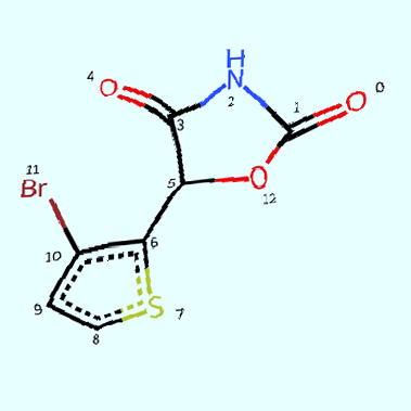 O=C1NC(=O)C(c2sccc2Br)O1